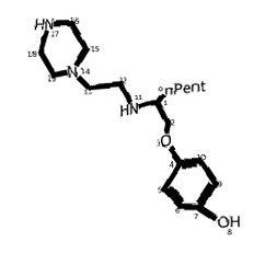 CCCCCC(COc1ccc(O)cc1)NCCN1CCNCC1